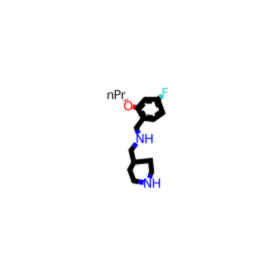 CCCOc1cc(F)ccc1CNCC1CCNCC1